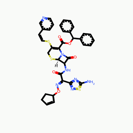 Nc1nc(/C(=N\OC2C=CCC2)C(=O)NC2C(=O)N3C(C(=O)OC(c4ccccc4)c4ccccc4)=C(S/C=C\c4cccnc4)CS[C@H]23)ns1